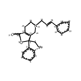 CC(C)CC1(c2ccccc2)OC(=O)C2=C1CN(C/C=C/c1ccccc1)CC2